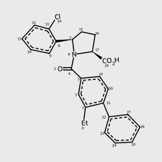 CCc1cc(C(=O)N2[C@@H](c3ccccc3Cl)CC[C@H]2C(=O)O)ccc1-c1ccccc1